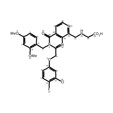 COc1ccc(Cn2c(COc3ccc(F)c(Cl)c3)nc3c(CNCC(=O)O)nccc3c2=O)c(OC)c1